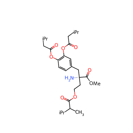 COC(=O)[C@@](N)(CCOC(=O)C(C)C(C)C)Cc1ccc(OC(=O)CC(C)C)c(OC(=O)CC(C)C)c1